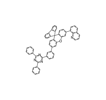 c1ccc(-c2nc(-c3ccccc3)nc(-c3cccc(-c4ccc5c(c4)Oc4cc(-c6cccc7cccnc67)ccc4C54c5ccccc5-c5ccccc54)c3)n2)cc1